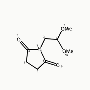 COC(CN1C(=O)CCC1=O)OC